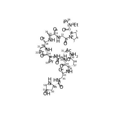 CCN(C(=O)[C@@H]1CCCN1C(=O)CNC(=O)[C@H](C)NC(=O)[C@H](CC(C)C)NC(=O)[C@@H](NC(=O)[C@H](CC(C)=O)NC(=O)[C@H](CCC(N)=O)NC(=O)CNC(=O)[C@@H]1C[C@@H](O)CN1)C(C)C)C(C)C